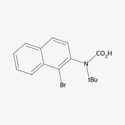 CC(C)(C)N(C(=O)O)c1ccc2ccccc2c1Br